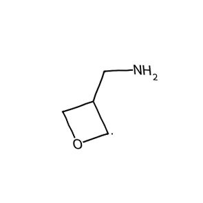 NCC1[CH]OC1